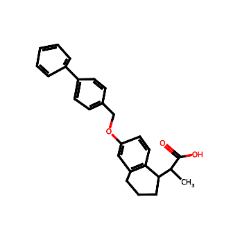 CC(C(=O)O)C1CCCc2cc(OCc3ccc(-c4ccccc4)cc3)ccc21